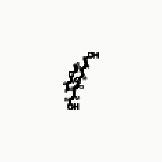 C=COCCC.OCCC=COC=CCCO